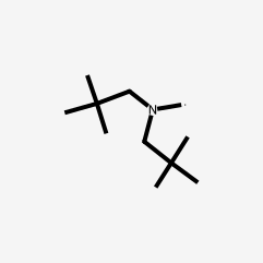 [CH2]N(CC(C)(C)C)CC(C)(C)C